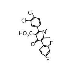 Cc1c(-c2ccc(F)cc2F)c(=O)c(C(=O)O)c(-c2ccc(Cl)c(Cl)c2)n1C